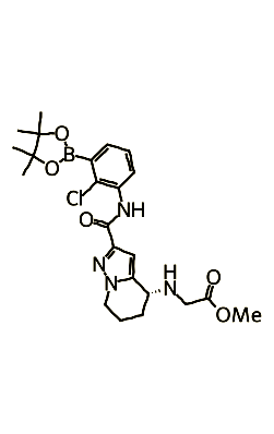 COC(=O)CN[C@@H]1CCCn2nc(C(=O)Nc3cccc(B4OC(C)(C)C(C)(C)O4)c3Cl)cc21